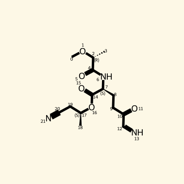 CO[C@H](C)C(=O)N[C@@H](CCC(=O)C=N)C(=O)O[C@@H](C)CC#N